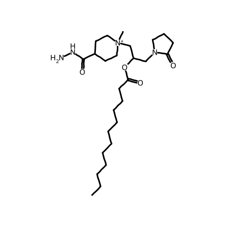 CCCCCCCCCCCC(=O)OC(CN1CCCC1=O)C[N+]1(C)CCC(C(=O)NN)CC1